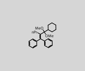 CCCC(=C(c1ccccc1)c1ccccc1)C(OC)(OC)C1CCCCC1